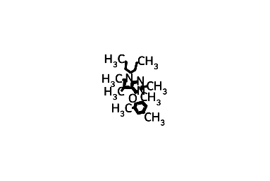 CCCC(CCC)n1c(C)c(C)c2c(Oc3c(C)cc(C)cc3C)nc(C)nc21